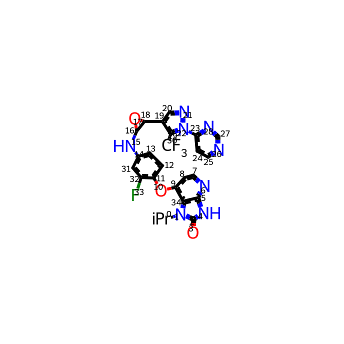 CC(C)n1c(=O)[nH]c2nccc(Oc3ccc(NC4OC4c4cnn(-c5ccncn5)c4C(F)(F)F)cc3F)c21